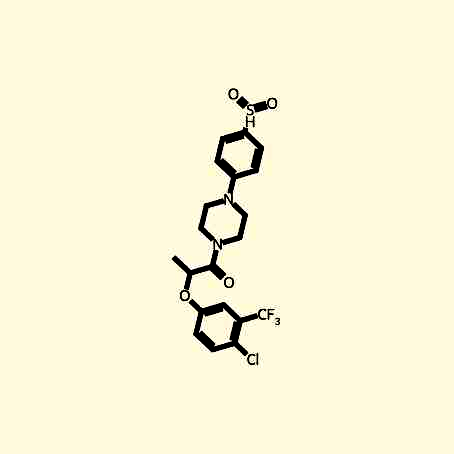 CC(Oc1ccc(Cl)c(C(F)(F)F)c1)C(=O)N1CCN(c2ccc([SH](=O)=O)cc2)CC1